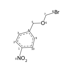 O=[N+]([O-])c1ccc(COCBr)cc1